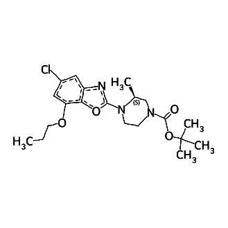 CCCOc1cc(Cl)cc2nc(N3CCN(C(=O)OC(C)(C)C)C[C@@H]3C)oc12